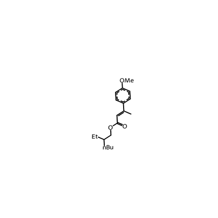 CCCCC(CC)COC(=O)/C=C(\C)c1ccc(OC)cc1